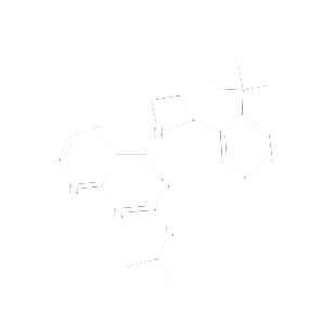 CC(C)Nc1nc(N2CCC2c2ccccc2C(F)(F)F)c2cccnc2n1